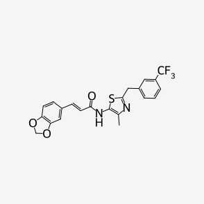 Cc1nc(Cc2cccc(C(F)(F)F)c2)sc1NC(=O)C=Cc1ccc2c(c1)OCO2